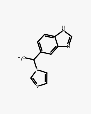 CC(c1ccc2[nH][c]nc2c1)n1ccnc1